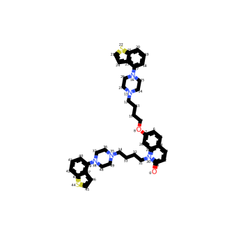 O=c1ccc2ccc(OCCCCN3CCN(c4cccc5sccc45)CC3)cc2n1CCCCN1CCN(c2cccc3sccc23)CC1